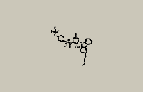 CCCCc1ccc2c(c1)c1ccccc1n2[C@@H]1CNC[C@H](NS(=O)(=O)c2ccc(OC(F)(F)F)cc2)[C@H]1O